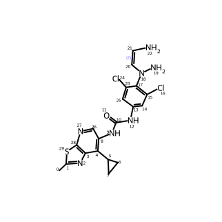 Cc1nc2c(C3CC3)c(NC(=O)Nc3cc(Cl)c(N(N)/C=C\N)c(Cl)c3)cnc2s1